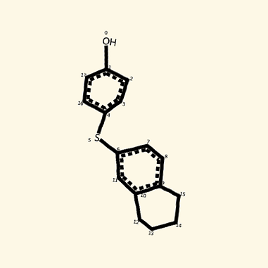 Oc1ccc(Sc2ccc3c(c2)CCCC3)cc1